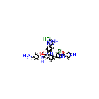 Cl.NC[C@H]1CC[C@H](C(=O)N[C@@H](Cc2ccc(-c3ccc(C(=O)NC4CCNCC4)c(Cl)c3)cc2)C(=O)Nc2ccc(-c3nn[nH]n3)cc2)CC1